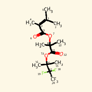 CC(C)=C(C)C(=O)OC(C)(C)C(=O)OC(C)(C)C(F)(F)C(F)(F)F